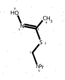 CCCCSC(C)=NO